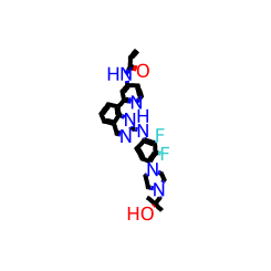 C=CC(=O)Nc1ccnc(-c2cccc3cnc(Nc4ccc(N5CCN(CC(C)(C)O)CC5)c(F)c4F)nc23)c1